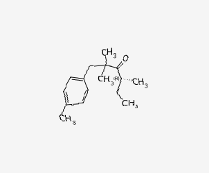 CC[C@@H](C)C(=O)C(C)(C)Cc1ccc(C)cc1